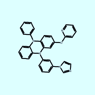 c1ccc(N2c3ccccc3N(c3cccc(-n4ccnc4)c3)c3cc(Oc4ccccn4)ccc32)cc1